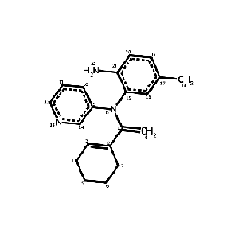 C=C(C1=CCCCC1)N(c1cccnc1)c1cc(C)ccc1N